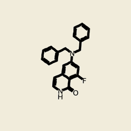 O=c1[nH]ccc2cc(N(Cc3ccccc3)Cc3ccccc3)cc(F)c12